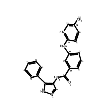 O=C(Nc1cn[nH]c1-c1ccccc1)c1ccnc(Nc2ccc(C(F)(F)F)cn2)c1